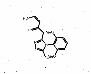 COc1cccc(OC)c1-n1c(C)nnc1CC(=N)/C=C\N